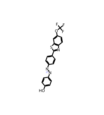 Oc1ccc(/N=N/c2ccc(-c3nc4ccc(OC(F)(F)F)cc4s3)cc2)cc1